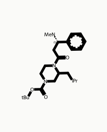 CN[C@@H](CC(=O)N1CCN(C(=O)OC(C)(C)C)CC1CC(C)C)c1ccccc1